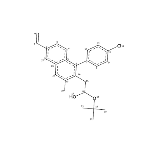 C=Cc1ccc2c(-c3ccc(Cl)cc3)c(CC(O)OC(C)(C)C)c(C)cc2n1